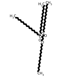 CCCCCCCCCCCCCCCCCCOC(=O)CC(ON(CCCCCCCCCCCCCCCCCC)CCCCCCCCCCCCCCCCCC)C(=O)OCCCCCCCCCCCCCCCCCC